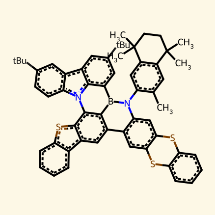 Cc1cc2c(cc1N1B3c4c(cc5c(sc6ccccc65)c4-n4c5ccc(C(C)(C)C)cc5c5cc(C(C)(C)C)cc3c54)-c3cc4c(cc31)Sc1ccccc1S4)C(C)(C)CCC2(C)C